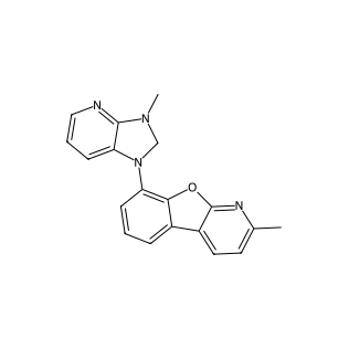 Cc1ccc2c(n1)oc1c(N3CN(C)c4ncccc43)cccc12